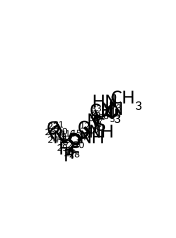 CNc1nccc(-c2sc(NC(=O)Nc3ccc(CN4CCOCC4)c(C(F)(F)F)c3)nc2C)n1